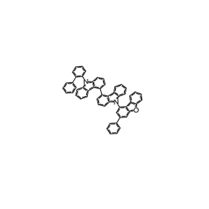 c1ccc(-c2cc(-n3c4ccccc4c4c(-c5cccc6c5c5ccccc5n6-c5ccccc5-c5ccccc5)cccc43)c3c(c2)oc2ccccc23)cc1